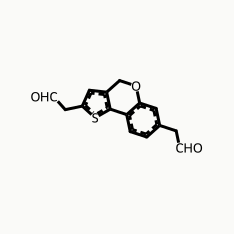 O=CCc1ccc2c(c1)OCc1cc(CC=O)sc1-2